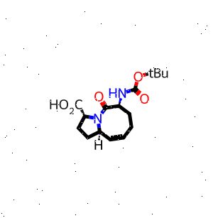 CC(C)(C)OC(=O)N[C@H]1CCC=C[C@H]2CC[C@@H](C(=O)O)N2C1=O